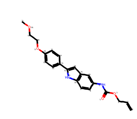 C=CCOC(=O)Nc1ccc2[nH]c(-c3ccc(OCCOC)cc3)cc2c1